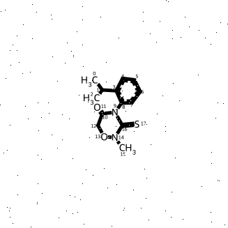 CC(C)c1ccccc1N1C(=O)CON(C)C1=S